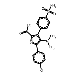 CCC(=O)c1sc(-c2ccc(Cl)cc2)c(N(C)C)c1-c1ccc(S(N)(=O)=O)cc1